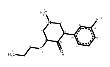 CCCOC1CN(C)CC(c2cccc(F)c2)C1=O